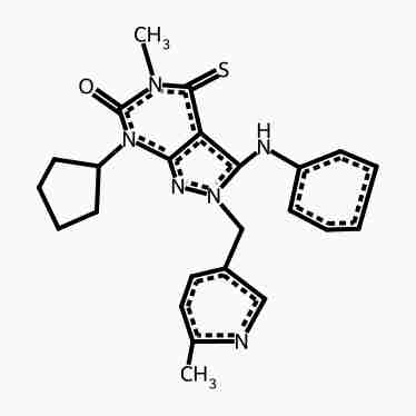 Cc1ccc(Cn2nc3c(c2Nc2ccccc2)c(=S)n(C)c(=O)n3C2CCCC2)cn1